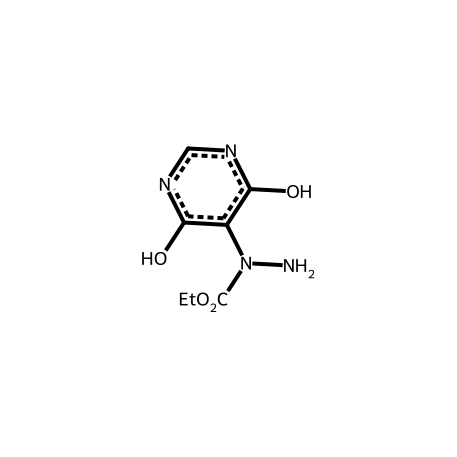 CCOC(=O)N(N)c1c(O)ncnc1O